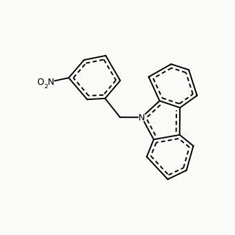 O=[N+]([O-])c1cccc(Cn2c3ccccc3c3ccccc32)c1